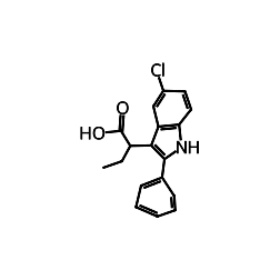 CCC(C(=O)O)c1c(-c2ccccc2)[nH]c2ccc(Cl)cc12